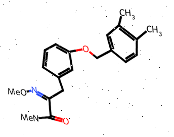 CNC(=O)C(Cc1cccc(OCc2ccc(C)c(C)c2)c1)=NOC